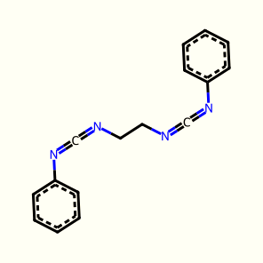 C(=NCCN=C=Nc1ccccc1)=Nc1ccccc1